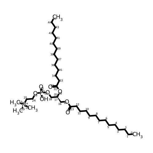 CCCCCCCCCCCCCC(=O)OC[C@@H](COP(=O)(O)OCC[N+](C)(C)C)OC(=O)CCCCCCCCCCCCC